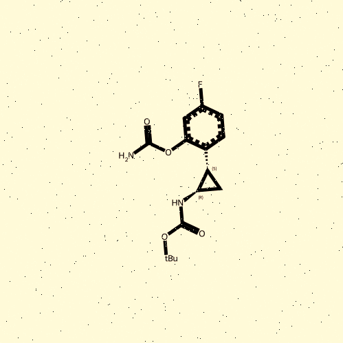 CC(C)(C)OC(=O)N[C@@H]1C[C@H]1c1ccc(F)cc1OC(N)=O